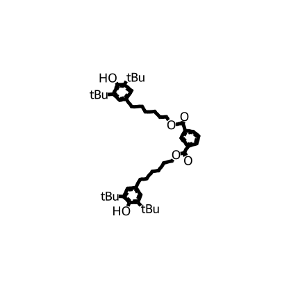 CC(C)(C)c1cc(CCCCCCOC(=O)c2cccc(C(=O)OCCCCCCc3cc(C(C)(C)C)c(O)c(C(C)(C)C)c3)c2)cc(C(C)(C)C)c1O